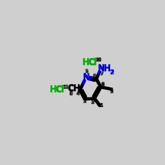 C.Cc1ccnc(N)c1C.Cl.Cl